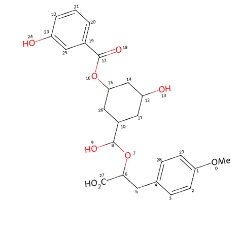 COc1ccc(CC(OC(O)C2CC(O)CC(OC(=O)c3cccc(O)c3)C2)C(=O)O)cc1